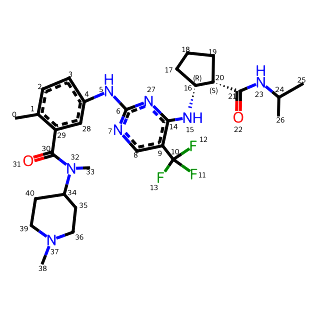 Cc1ccc(Nc2ncc(C(F)(F)F)c(N[C@@H]3CCC[C@@H]3C(=O)NC(C)C)n2)cc1C(=O)N(C)C1CCN(C)CC1